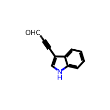 O=CC#Cc1c[nH]c2ccccc12